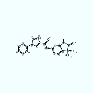 CC1(C)C(=O)Nc2cc(NC(=O)c3cc(-c4ccccc4)n[nH]3)ccc21